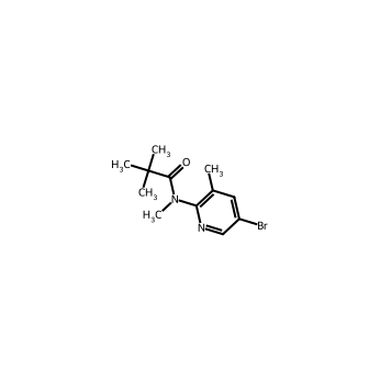 Cc1cc(Br)cnc1N(C)C(=O)C(C)(C)C